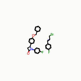 Fc1ccc(/C=C/CBr)cc1.O=C1CC(c2ccc(OCc3ccccc3)cc2)N1c1ccc(F)cc1